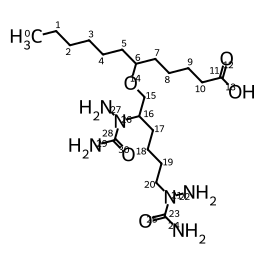 CCCCCCC(CCCCC(=O)O)OCC(CCCCN(N)C(N)=O)N(N)C(N)=O